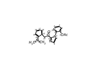 CC(=O)Oc1cccnc1-n1ccnc1[S+]([O-])Cc1ccccc1N(C)C